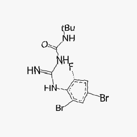 CC(C)(C)NC(=O)NC(=N)Nc1c(F)cc(Br)cc1Br